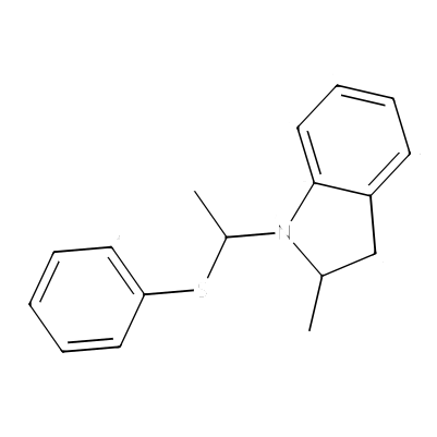 CC1Cc2ccccc2N1C(C)Sc1ccccc1